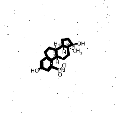 C[C@]12CC[C@@H]3c4c(cc(O)cc4[PH](=O)Cl)CC[C@H]3[C@@H]1CC[C@H]2O